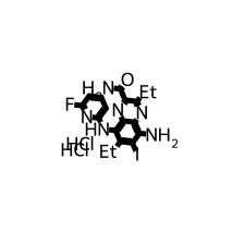 CCc1nc2c(N)c(I)c(CC)c(Nc3cccc(F)n3)c2nc1C(N)=O.Cl.Cl